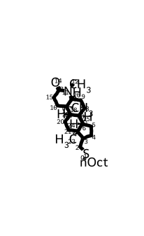 CCCCCCCCSCC1CC[C@H]2[C@@H]3CC[C@H]4N(C)C(=O)CC[C@]4(C)[C@H]3CC[C@]12C